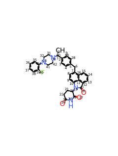 C[C@H](c1ccc(Cc2ccc3c4c(cccc24)C(=O)N3C2CCC(=O)NC2=O)cc1)N1CCN(c2ccccc2F)CC1